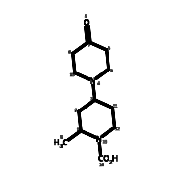 CC1CC(N2CCC(=O)CC2)CCN1C(=O)O